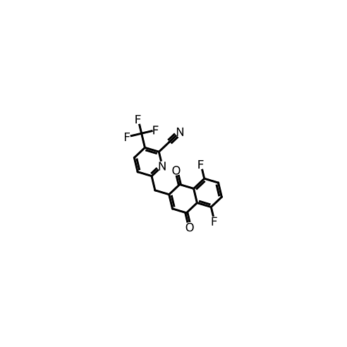 N#Cc1nc(CC2=CC(=O)c3c(F)ccc(F)c3C2=O)ccc1C(F)(F)F